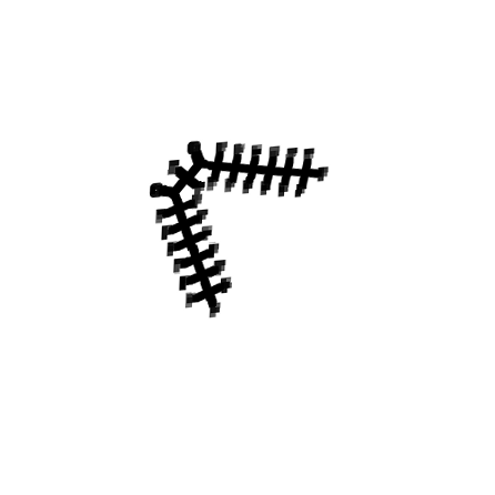 O=C(C(F)(F)C(=O)C(F)(F)C(F)(F)C(F)(F)C(F)(F)C(F)(F)C(F)(F)F)C(F)(F)C(F)(F)C(F)(F)C(F)(F)C(F)(F)C(F)(F)F